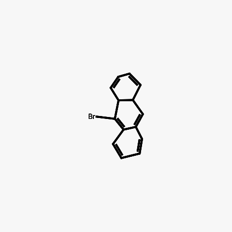 BrC1=c2ccccc2=CC2C=CC=CC12